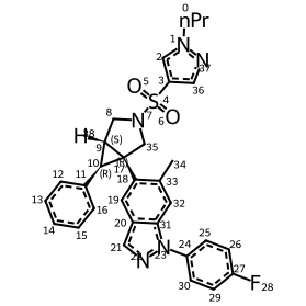 CCCn1cc(S(=O)(=O)N2C[C@H]3[C@H](c4ccccc4)[C@@]3(c3cc4cnn(-c5ccc(F)cc5)c4cc3C)C2)cn1